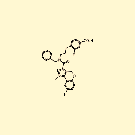 Cn1nc(C(=O)N(CCOc2ccc(C(=O)O)cc2F)Cc2ccccc2)c2c1-c1cc(F)ccc1OC2